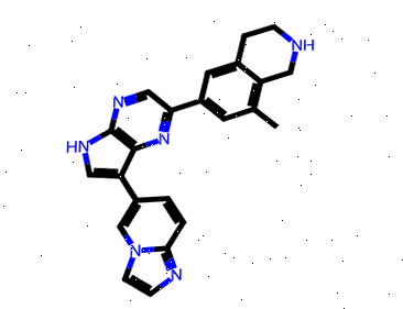 Cc1cc(-c2cnc3[nH]cc(-c4ccc5nccn5c4)c3n2)cc2c1CNCC2